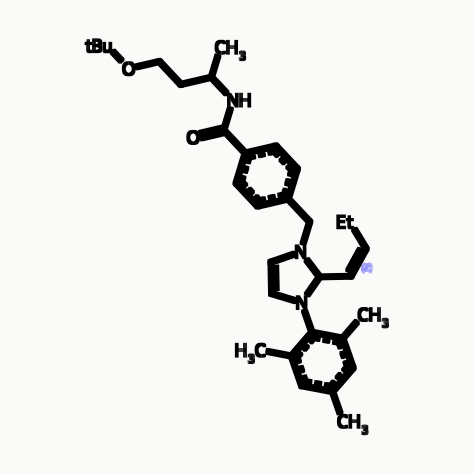 CC/C=C\C1N(Cc2ccc(C(=O)NC(C)CCOC(C)(C)C)cc2)C=CN1c1c(C)cc(C)cc1C